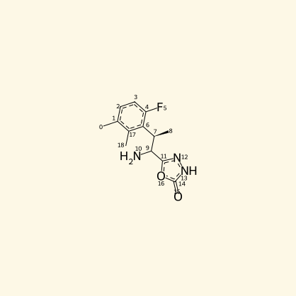 Cc1ccc(F)c([C@@H](C)C(N)c2n[nH]c(=O)o2)c1C